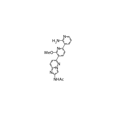 COc1nc(-c2cccnc2N)ccc1-c1ccc2nc(NC(C)=O)cn2n1